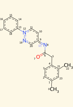 Cc1ccc(CC(=O)/N=c2/ccn(-c3ccccc3)nc2)c(C)c1